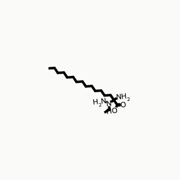 CCCCCCCCCCCCCCC(N)(C(=O)O)N(N)CC